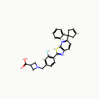 O=C(O)C1CN(Cc2ccc(-c3nc4ccc(C5(c6ccccc6)CC=CC5)nc4s3)c(F)c2)C1